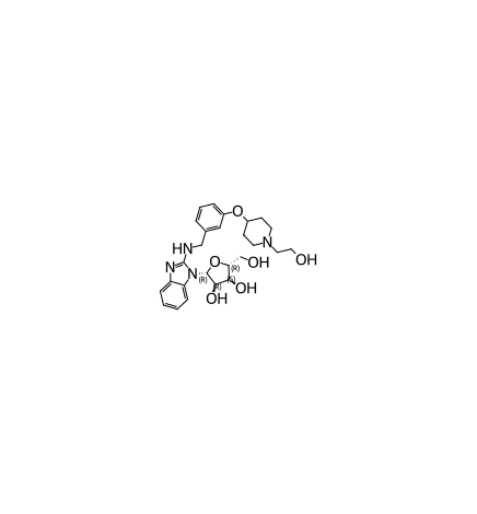 OCCN1CCC(Oc2cccc(CNc3nc4ccccc4n3[C@@H]3O[C@H](CO)[C@@H](O)[C@H]3O)c2)CC1